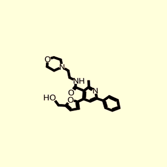 Cc1nc(-c2ccccc2)cc(-c2ccc(CO)o2)c1C(=O)NCCN1CCOCC1